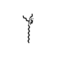 CCCCCCCCCCn1cc[n+](CCC)c1CCCC